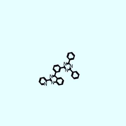 c1ccc(-c2nc(-c3ccccc3)nc(-c3cccc(-c4nc(-c5ccccn5)nc5ccccc45)c3)n2)cc1